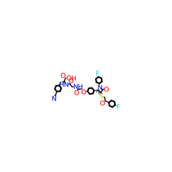 N#Cc1ccc(C[C@@H](NC(=O)CNC(=O)COc2ccc([C@@H]3[C@@H](SCC(=O)c4ccc(F)cc4)C(=O)N3c3ccc(F)cc3)cc2)C(=O)O)cc1